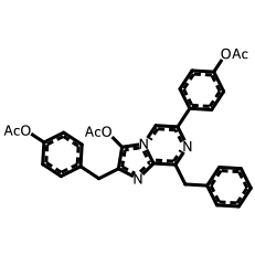 CC(=O)Oc1ccc(Cc2nc3c(Cc4ccccc4)nc(-c4ccc(OC(C)=O)cc4)cn3c2OC(C)=O)cc1